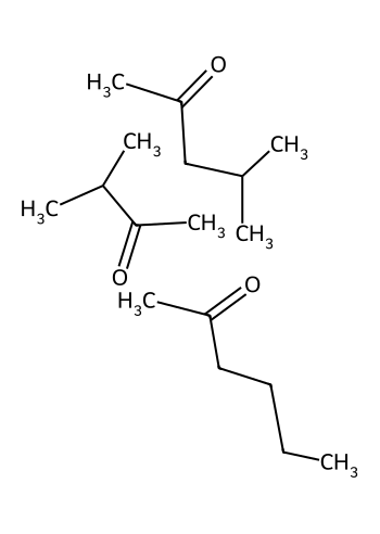 CC(=O)C(C)C.CC(=O)CC(C)C.CCCCC(C)=O